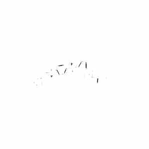 CC(C)(C)OC(=O)NCc1ccc(S(=O)(=O)c2ccc(S(=O)(=O)CCCN)cc2)s1